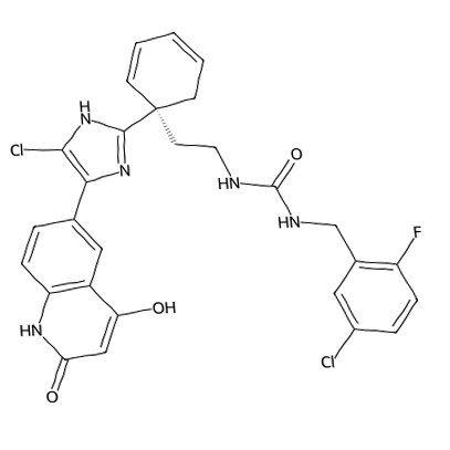 O=C(NCC[C@]1(c2nc(-c3ccc4[nH]c(=O)cc(O)c4c3)c(Cl)[nH]2)C=CC=CC1)NCc1cc(Cl)ccc1F